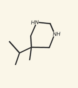 CC(C)C1(C)CNCNC1